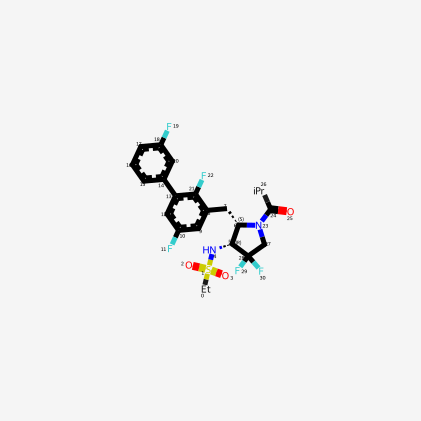 CCS(=O)(=O)N[C@@H]1[C@H](Cc2cc(F)cc(-c3cccc(F)c3)c2F)N(C(=O)C(C)C)CC1(F)F